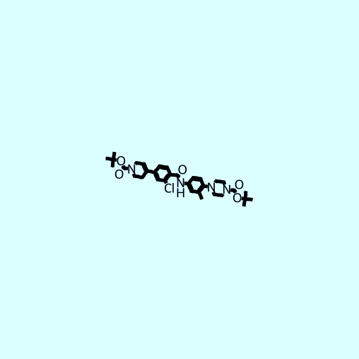 Cc1cc(NC(=O)c2ccc(C3=CCN(C(=O)OC(C)(C)C)CC3)cc2Cl)ccc1N1CCN(C(=O)OC(C)(C)C)CC1